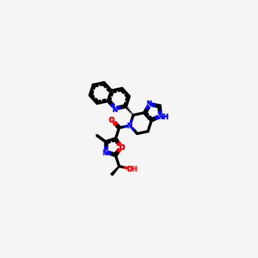 Cc1nc([C@H](C)O)oc1C(=O)N1CCc2[nH]cnc2[C@H]1c1ccc2ccccc2n1